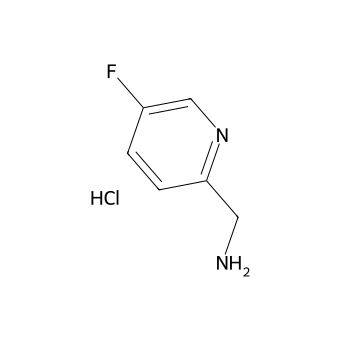 Cl.NCc1ccc(F)cn1